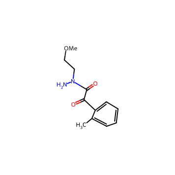 COCCN(N)C(=O)C(=O)c1ccccc1C